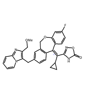 COCc1nc2ccccn2c1Cc1ccc2c(c1)COc1cc(F)ccc1/C2=C(\c1noc(=O)[nH]1)C1CC1